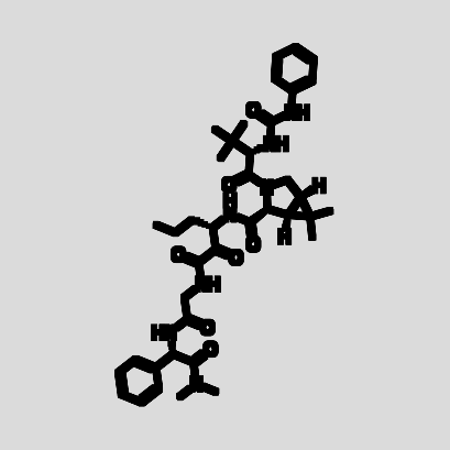 CCC[C@H](NC(=O)[C@@H]1[C@@H]2[C@H](CN1C(=O)[C@@H](NC(=O)Nc1ccccc1)C(C)(C)C)C2(C)C)C(=O)C(=O)NCC(=O)N[C@H](C(=O)N(C)C)c1ccccc1